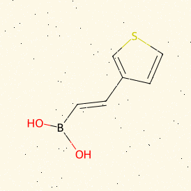 OB(O)C=Cc1ccsc1